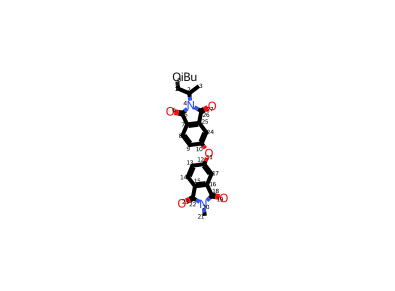 CC(C)COCC(C)N1C(=O)c2ccc(Oc3ccc4c(c3)C(=O)N(C)C4=O)cc2C1=O